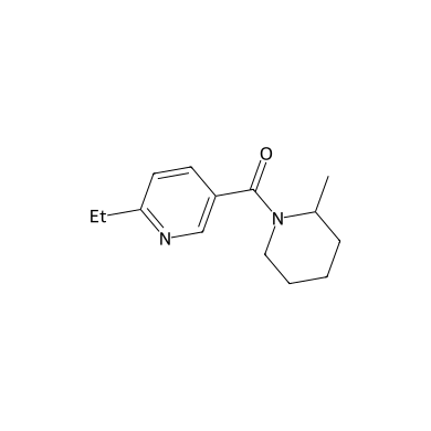 CCc1ccc(C(=O)N2CCCCC2C)cn1